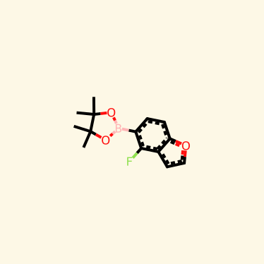 CC1(C)OB(c2ccc3occc3c2F)OC1(C)C